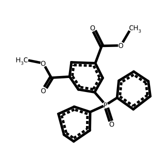 COC(=O)c1cc(C(=O)OC)cc(P(=O)(c2ccccc2)c2ccccc2)c1